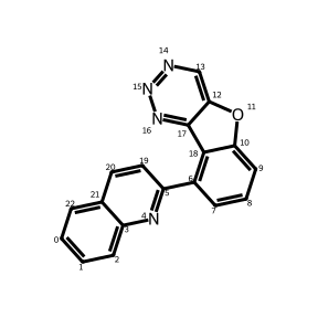 c1ccc2nc(-c3cccc4oc5cnnnc5c34)ccc2c1